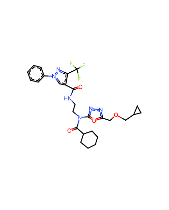 O=C(NCCN(C(=O)C1CCCCC1)c1nnc(COCC2CC2)o1)c1cn(-c2ccccc2)nc1C(F)(F)F